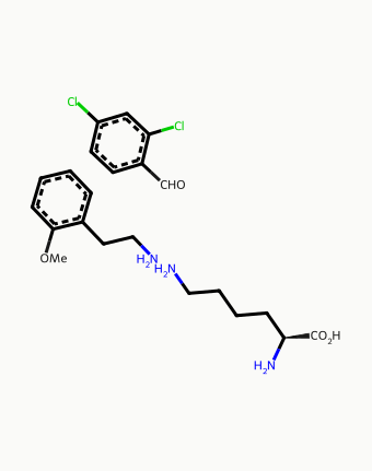 COc1ccccc1CCN.NCCCC[C@H](N)C(=O)O.O=Cc1ccc(Cl)cc1Cl